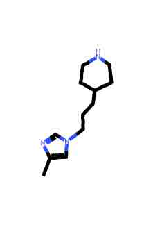 Cc1cn(CCCC2CCNCC2)cn1